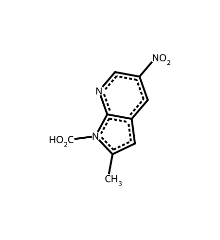 Cc1cc2cc([N+](=O)[O-])cnc2n1C(=O)O